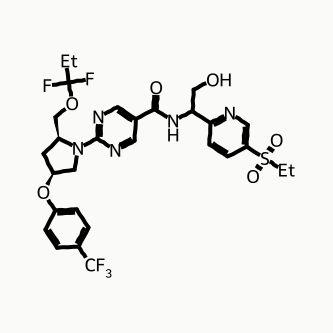 CCC(F)(F)OC[C@@H]1C[C@H](Oc2ccc(C(F)(F)F)cc2)CN1c1ncc(C(=O)NC(CO)c2ccc(S(=O)(=O)CC)cn2)cn1